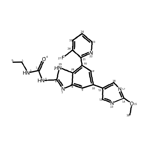 CCNC(=O)Nc1nc2cc(-c3cnc(OC)nc3)cc(-c3ncccc3F)c2[nH]1